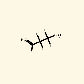 C=C(F)C(F)(F)C(F)(F)C(=O)O